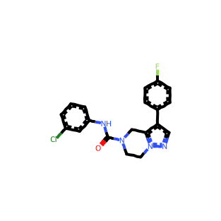 O=C(Nc1cccc(Cl)c1)N1CCn2ncc(-c3ccc(F)cc3)c2C1